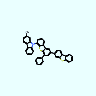 N#Cc1ccc2c3ccccc3n(-c3cccc4c3sc3c(-c5ccccc5)cc(-c5ccc6c(c5)sc5ccccc56)cc34)c2c1